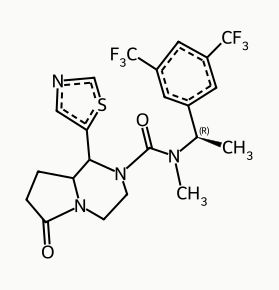 C[C@H](c1cc(C(F)(F)F)cc(C(F)(F)F)c1)N(C)C(=O)N1CCN2C(=O)CCC2C1c1cncs1